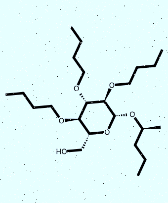 CCCCO[C@@H]1[C@@H](OCCCC)[C@H](O[C@@H](C)CCC)O[C@H](CO)[C@H]1OCCCC